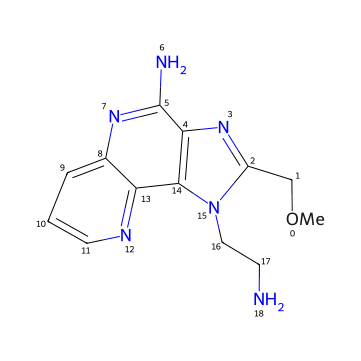 COCc1nc2c(N)nc3cccnc3c2n1CCN